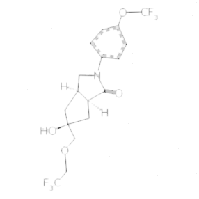 O=C1[C@H]2C[C@](O)(COCC(F)(F)F)C[C@H]2CN1c1ccc(OC(F)(F)F)cc1